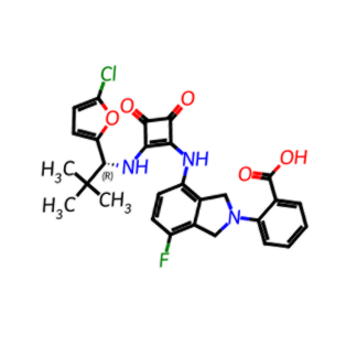 CC(C)(C)[C@@H](Nc1c(Nc2ccc(F)c3c2CN(c2ccccc2C(=O)O)C3)c(=O)c1=O)c1ccc(Cl)o1